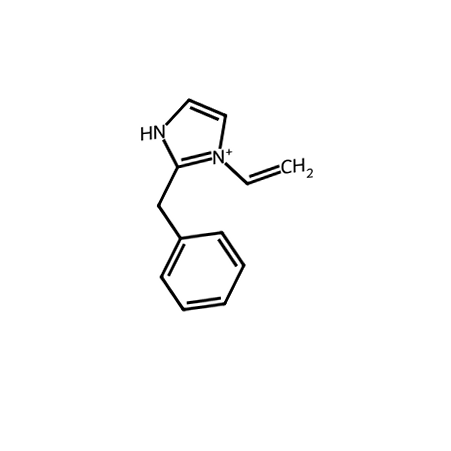 C=C[n+]1cc[nH]c1Cc1ccccc1